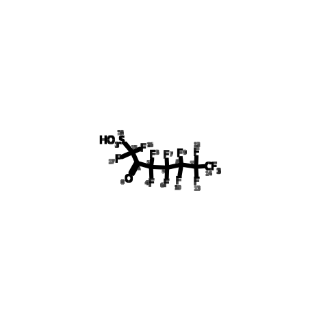 O=C(C(F)(F)C(F)(F)C(F)(F)C(F)(F)C(F)(F)F)C(F)(F)S(=O)(=O)O